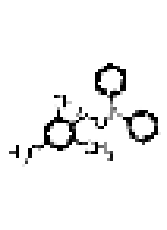 Cc1cc(C)c(COP(c2ccccc2)c2ccccc2)c(C)c1